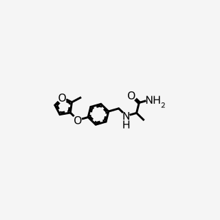 Cc1occc1Oc1ccc(CNC(C)C(N)=O)cc1